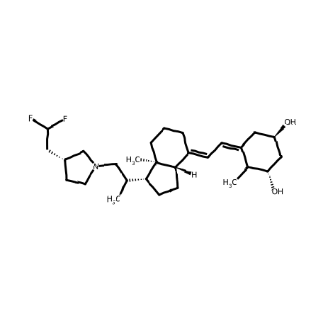 CC(CN1CC[C@H](CC(F)F)C1)[C@H]1CC[C@H]2/C(=C/C=C3/C[C@@H](O)C[C@H](O)C3C)CCC[C@]12C